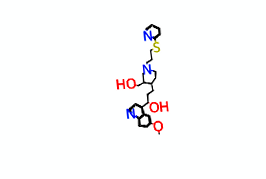 COc1ccc2nccc([C@@H](O)CC[C@@H]3CCN(CCCSc4ccccn4)C[C@@H]3CO)c2c1